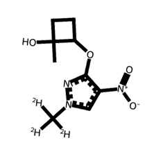 [2H]C([2H])([2H])n1cc([N+](=O)[O-])c(OC2CCC2(C)O)n1